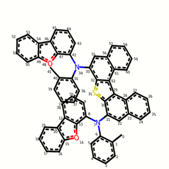 Cc1ccccc1N(c1cccc2c1oc1ccccc12)c1cc2ccccc2c2c1sc1c(N(c3ccccc3C)c3cccc4c3oc3ccccc34)cc3ccccc3c12